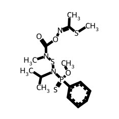 COP(=S)(c1ccccc1)N(SN(C)C(=O)ON=C(C)SC)C(C)C